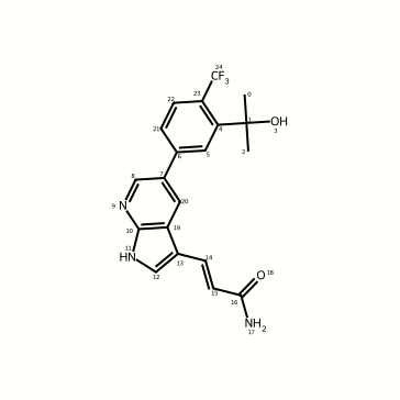 CC(C)(O)c1cc(-c2cnc3[nH]cc(/C=C/C(N)=O)c3c2)ccc1C(F)(F)F